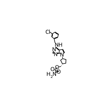 NS(=O)(=O)OC[C@H]1CC[C@H](n2ccc3c(NCc4cccc(Cl)c4)ncnc32)C1